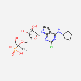 O=P(O)(O)C(CO)(OC[C@H]1O[C@@H](n2ccc3c(NC4CCCC4)nc(Cl)nc32)[C@H](O)[C@@H]1O)C(F)(F)F